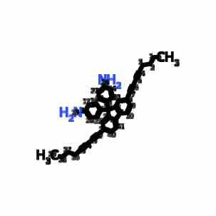 CCCCC#CC#Cc1ccc2c(c1)C(c1ccc(N)cc1)(c1ccc(N)cc1)c1cc(C#CC#CCCCC)ccc1-2